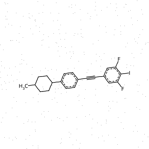 CC1CCC(c2ccc(C#Cc3cc(F)c(I)c(F)c3)cc2)CC1